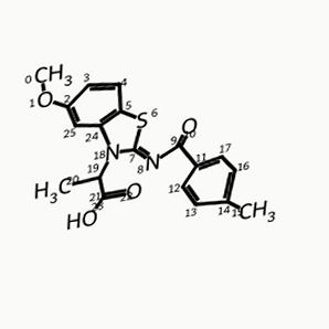 COc1ccc2s/c(=N\C(=O)c3ccc(C)cc3)n(C(C)C(=O)O)c2c1